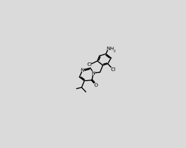 CC(C)c1cncn(Cc2c(Cl)cc(N)cc2Cl)c1=O